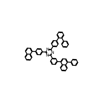 c1ccc(-c2ccccc2-c2ccc(-c3nc(-c4ccc(-c5cccc6ccccc56)cc4)nc(-c4cccc(-c5ccc(-c6ccccc6)c6ccccc56)c4)n3)cc2)cc1